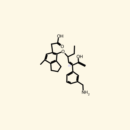 C=C(O)/C(=C\C(CC)Oc1c(CC(=O)O)cc(C)c2c1CCC2)c1cccc(CN)c1